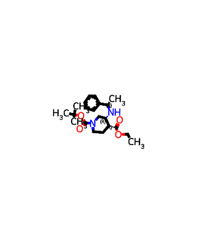 CCOC(=O)[C@@H]1CCN(C(=O)OC(C)(C)C)C[C@@H]1N[C@H](C)c1ccccc1